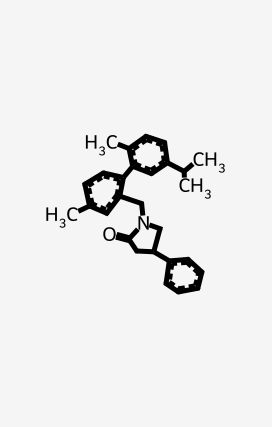 Cc1ccc(-c2cc(C(C)C)ccc2C)c(CN2CC(c3ccccc3)CC2=O)c1